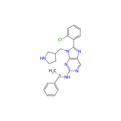 C[C@H](Nc1ncc2nc(-c3ccccc3Cl)n(CC3CCNC3)c2n1)c1ccccc1